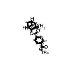 CC(C)(C)OC(=O)c1ccc(B2OC3[C@@H]4C[C@H](C[C@]3(C)O2)C4(C)C)nc1